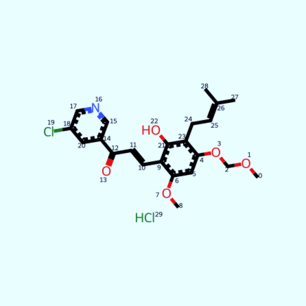 COCOc1cc(OC)c(C=CC(=O)c2cncc(Cl)c2)c(O)c1CC=C(C)C.Cl